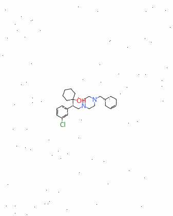 OC1(C(CN2CCN(CC3CC=CCC3)CC2)c2cccc(Cl)c2)CCCCC1